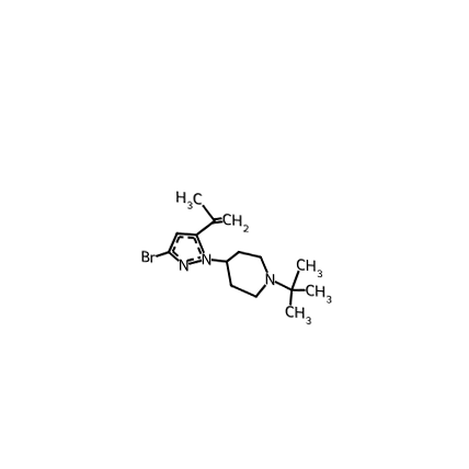 C=C(C)c1cc(Br)nn1C1CCN(C(C)(C)C)CC1